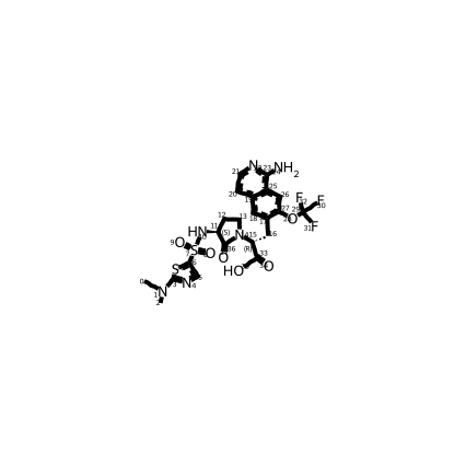 CN(C)c1ncc(S(=O)(=O)N[C@H]2CCN([C@H](Cc3cc4ccnc(N)c4cc3OC(F)(F)F)C(=O)O)C2=O)s1